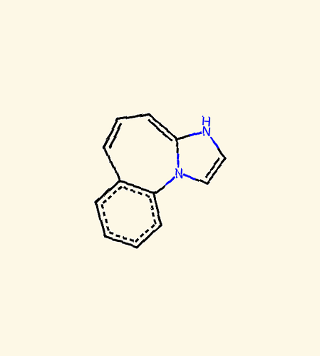 C1=Cc2ccccc2N2C=CNC2=C1